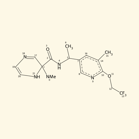 CNC1(C(=O)NC(C)c2cnc(OCC(F)(F)F)c(C)c2)C=NC=CN1